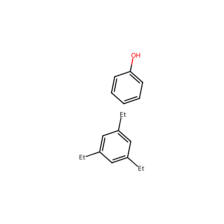 CCc1cc(CC)cc(CC)c1.Oc1ccccc1